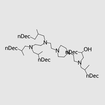 CCCCCCCCCCCC(C)CN(CCN1CCN(CCN(CC(C)CCCCCCCCCC)CC(O)CCCCCCCCCC)CC1)CCN(CC(C)CCCCCCCCCC)CC(C)CCCCCCCCCC